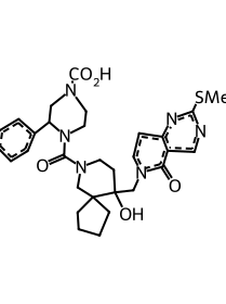 CSc1ncc2c(=O)n(CC3(O)CCN(C(=O)N4CCN(C(=O)O)CC4c4ccccc4)CC34CCCC4)ccc2n1